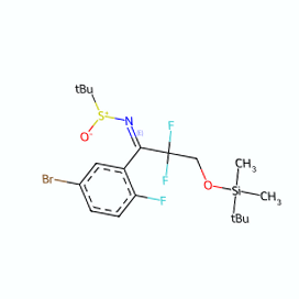 CC(C)(C)[S+]([O-])/N=C(\c1cc(Br)ccc1F)C(F)(F)CO[Si](C)(C)C(C)(C)C